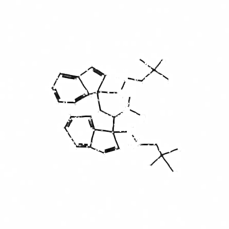 CC(C)(C)C[SiH2]OC1(C[CH]([Zr]([Cl])[Cl])C2(O[SiH2]CC(C)(C)C)C=Cc3ccccc32)C=Cc2ccccc21